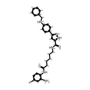 Nc1cc(F)ccc1NC(=O)CCCCCNC(=O)c1cc(-c2ccc(NCc3ccccc3)cc2)n[nH]1